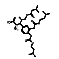 CC(C)CCOC(=O)Oc1ccc(C(C(C)COC(=O)CC(C)C)[C@H](N)C(=O)O)cc1OC(=O)OCCC(C)C